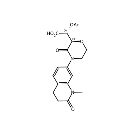 CC(=O)O[C@@H](C(=O)O)[C@H]1OCCN(c2ccc3c(c2)N(C)C(=O)CC3)C1=O